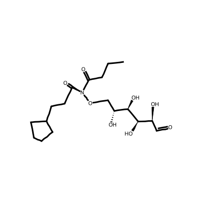 CCCC(=O)N(OC[C@@H](O)[C@@H](O)[C@H](O)[C@@H](O)C=O)C(=O)CCC1CCCC1